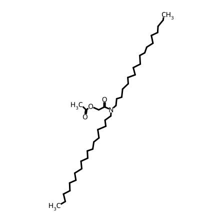 CCCCCCCCCCCCCCCCCCN(CCCCCCCCCCCCCCCCCC)C(=O)COC(C)=O